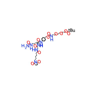 CC(C)(C)C(=O)OCCOCCOCCNC(=O)OCc1ccc(NC(=O)[C@@H](CCCNC(N)=O)NC(=O)CNC(=O)CCCCCN2C(=O)C=CC2=O)cc1